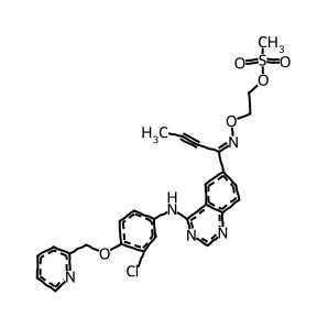 CC#C/C(=N\OCCOS(C)(=O)=O)c1ccc2ncnc(Nc3ccc(OCc4ccccn4)c(Cl)c3)c2c1